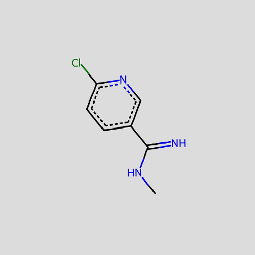 CNC(=N)c1ccc(Cl)nc1